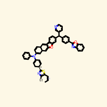 C/C=C\c1sc([C@@H]2C=CC(N(C3=CC4C=c5oc6cc(C(c7ccc(-c8nc9ccccc9o8)cc7)c7cccnc7)ccc6c5=CC4C=C3)c3ccccc3)=CC2)nc1CC